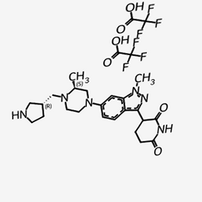 C[C@H]1CN(c2ccc3c(C4CCC(=O)NC4=O)nn(C)c3c2)CCN1C[C@@H]1CCNC1.O=C(O)C(F)(F)F.O=C(O)C(F)(F)F